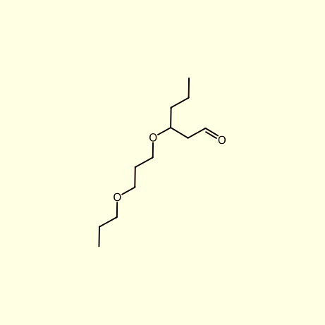 CCCOCCCOC(CC=O)CCC